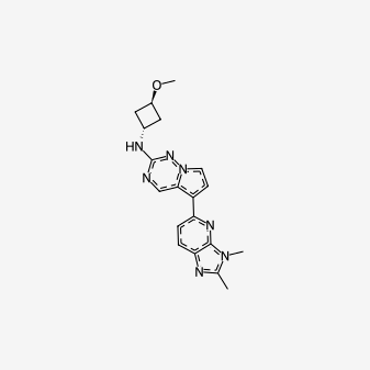 CO[C@H]1C[C@H](Nc2ncc3c(-c4ccc5nc(C)n(C)c5n4)ccn3n2)C1